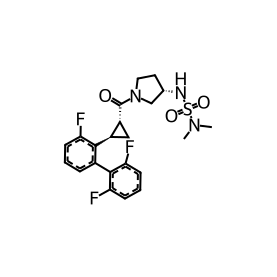 CN(C)S(=O)(=O)N[C@H]1CCN(C(=O)[C@@H]2C[C@H]2c2c(F)cccc2-c2c(F)cccc2F)C1